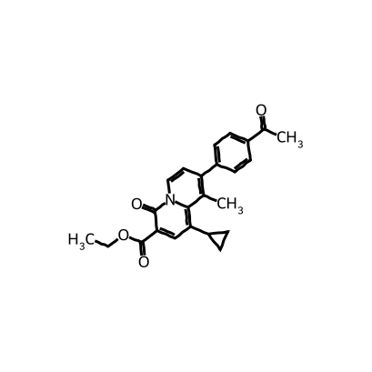 CCOC(=O)c1cc(C2CC2)c2c(C)c(-c3ccc(C(C)=O)cc3)ccn2c1=O